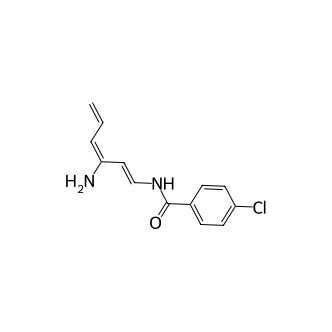 C=C/C=C(N)\C=C\NC(=O)c1ccc(Cl)cc1